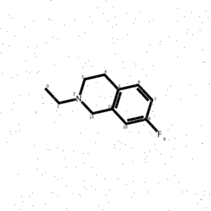 CCN1CCc2ccc(F)cc2C1